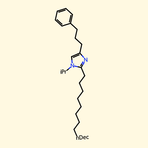 CCCCCCCCCCCCCCCCCCc1nc(CCCc2ccccc2)cn1C(C)C